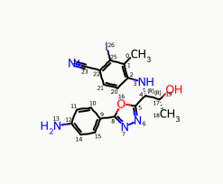 Cc1c(N[C@@H](c2nnc(-c3ccc(N)cc3)o2)[C@@H](C)O)ccc(C#N)c1I